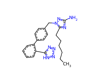 CCCCCCc1nc(N)nn1Cc1ccc(-c2ccccc2-c2nnn[nH]2)cc1